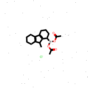 CC(=O)[O][Ti+]([O]C(C)=O)[CH]1CCCC2=C1C(C)C1=C2CCCC1.[Cl-]